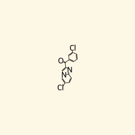 O=C(c1cccc(Cl)c1)c1cn2cc(Cl)ccc2n1